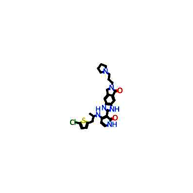 CC(Cc1ccc(Cl)s1)Nc1cc[nH]c(=O)c1-c1nc2cc3c(cc2[nH]1)C(=O)N(CCCN1CCCC1)C3